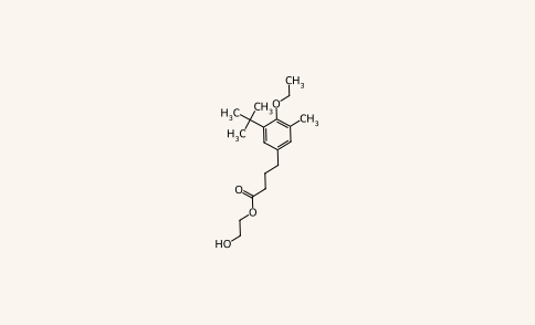 CCOc1c(C)cc(CCCC(=O)OCCO)cc1C(C)(C)C